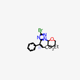 CCOC(=O)/C=C(/c1ccccc1)c1nc(Br)nn1C1CCCCO1